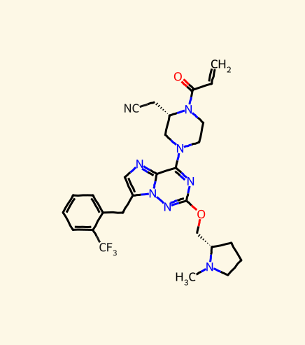 C=CC(=O)N1CCN(c2nc(OC[C@@H]3CCCN3C)nn3c(Cc4ccccc4C(F)(F)F)cnc23)C[C@@H]1CC#N